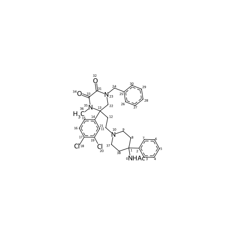 CC(=O)NC1(c2ccccc2)CCN(CCC2(c3ccc(Cl)c(Cl)c3)CN(Cc3ccccc3)C(=O)C(=O)N2C)CC1